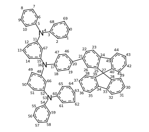 c1ccc(N(c2ccccc2)c2cccc(N(c3ccc(-c4ccc5c(c4)C4(c6ccccc6-c6ccccc64)c4ccccc4-5)cc3)c3cccc(N(c4ccccc4)c4ccccc4)c3)c2)cc1